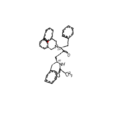 CC(=O)N[C@H](CC(=O)[C@H](Cc1ccccc1)N(Cc1ccccc1)Cc1ccccc1)Cc1ccccc1